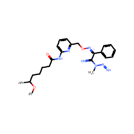 CCCC(CCCCC(=O)Nc1cccc(CO/N=C(\C(=N)N(C)N=N)c2ccccc2)n1)OC(C)C